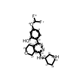 Oc1cc(OC(F)F)ccc1-c1nnc(N[C@@H]2CCCNC2)c2c1CCOC2